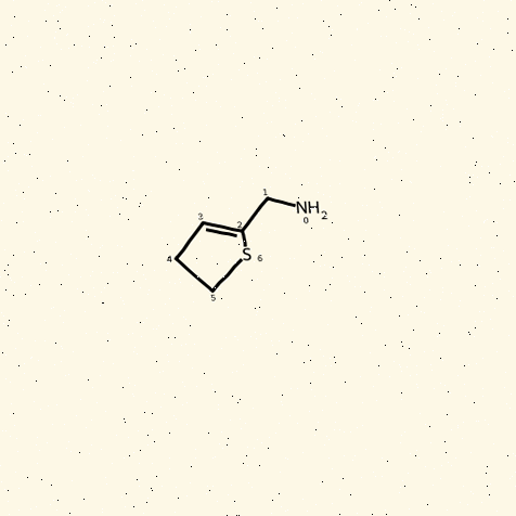 NCC1=CCCS1